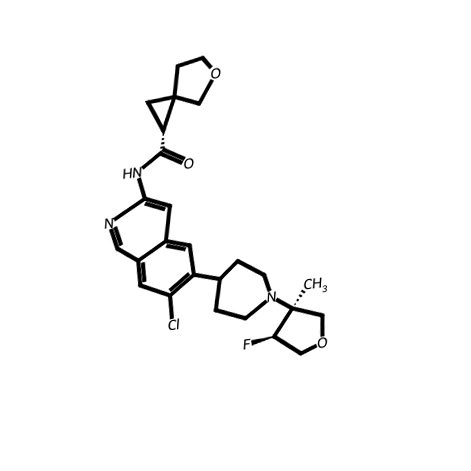 C[C@]1(N2CCC(c3cc4cc(NC(=O)[C@@H]5CC56CCOC6)ncc4cc3Cl)CC2)COC[C@H]1F